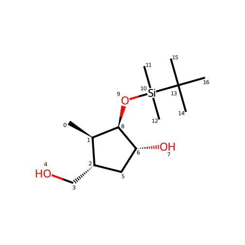 C[C@@H]1[C@@H](CO)C[C@@H](O)[C@@H]1O[Si](C)(C)C(C)(C)C